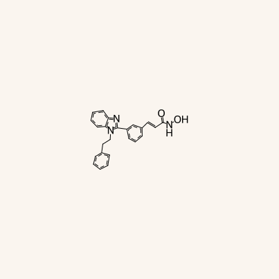 O=C(C=Cc1cccc(-c2nc3ccccc3n2CCc2ccccc2)c1)NO